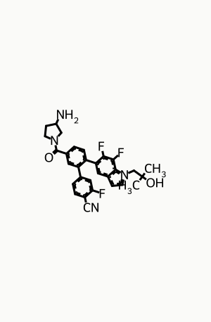 CC(C)(O)Cn1ccc2cc(-c3ccc(C(=O)N4CCC(N)C4)cc3-c3ccc(C#N)c(F)c3)c(F)c(F)c21